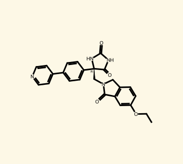 CCOc1ccc2c(c1)C(=O)N(C[C@@]1(c3ccc(-c4ccncc4)cc3)NC(=O)NC1=O)C2